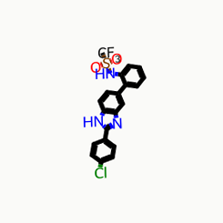 O=S(=O)(Nc1ccccc1-c1ccc2[nH]c(-c3ccc(Cl)cc3)nc2c1)C(F)(F)F